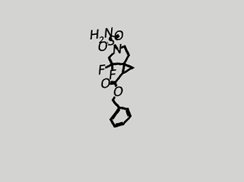 NS(=O)(=O)N1CCC2(CC2C(=O)OCc2ccccc2)C(F)(F)C1